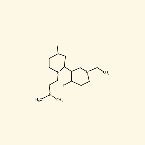 CCN1CCC(I)C(C2CC(I)CCN2CCN(C)C)C1